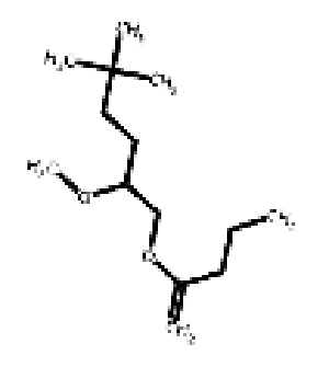 C=C(CCC)OCC(CCC(C)(C)C)OC